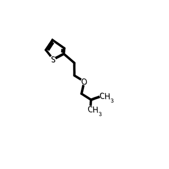 CC(C)COCCc1cccs1